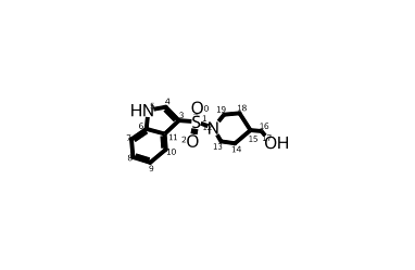 O=S(=O)(c1c[nH]c2ccccc12)N1CCC(CO)CC1